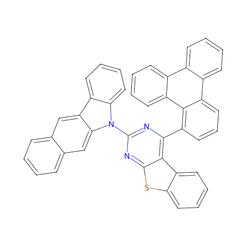 c1ccc2cc3c(cc2c1)c1ccccc1n3-c1nc(-c2cccc3c4ccccc4c4ccccc4c23)c2c(n1)sc1ccccc12